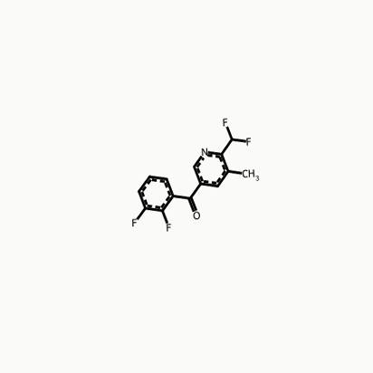 Cc1cc(C(=O)c2cccc(F)c2F)cnc1C(F)F